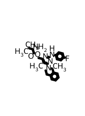 Cc1c(COC(=O)C(N)C(C)C)nc(Nc2ccc(F)cc2)nc1N1CCc2ccccc2C1C